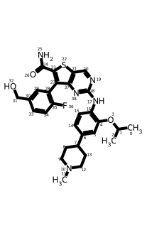 CC(C)Oc1cc(C2CCN(C)CC2)ccc1Nc1ncc2sc(C(N)=O)c(-c3cc(CO)ccc3F)c2n1